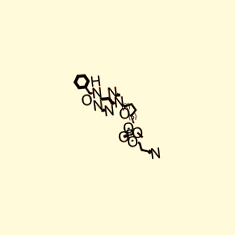 COP(=O)(OCCC#N)OC[C@@H]1CC[C@H](n2cnc3c(NC(=O)c4ccccc4)ncnc32)O1